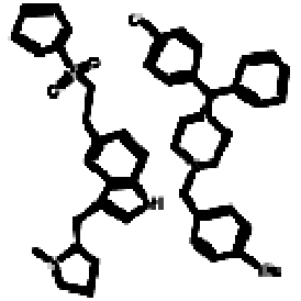 CC(C)(C)c1ccc(CN2CCN(C(c3ccccc3)c3ccc(Cl)cc3)CC2)cc1.CN1CCC[C@@H]1Cc1c[nH]c2ccc(CCS(=O)(=O)c3ccccc3)cc12